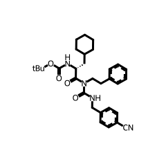 CC(C)(C)OC(=O)N[C@H](CC1CCCCC1)C(=O)N(CCc1ccccc1)C(=O)NCc1ccc(C#N)cc1